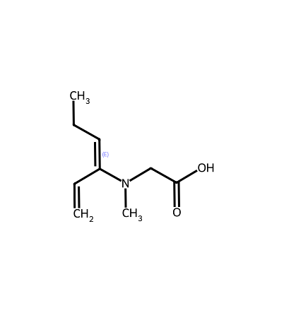 C=C/C(=C\CC)N(C)CC(=O)O